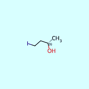 C[C@H](O)CCI